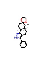 C[C@H]1[C@@H]2CCc3c(n[nH]c3-c3ccccc3)[C@@]2(C)CCC12OCCO2